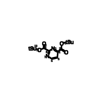 CC(C)(C)OC(=O)c1ccnc(C(=O)OC(C)(C)C)n1